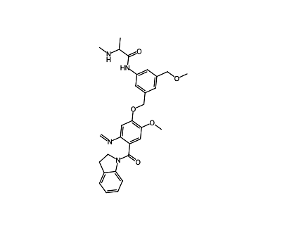 C=Nc1cc(OCc2cc(COC)cc(NC(=O)C(C)NC)c2)c(OC)cc1C(=O)N1CCc2ccccc21